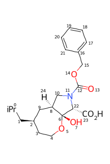 CC(C)C[C@@H]1CCO[C@]2(O)[C@@H](C1)CN(C(=O)OCc1ccccc1)[C@@H]2C(=O)O